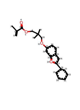 C=C(C)C(=O)OCC(C)(C)COc1ccc2cc(-c3ccccc3)oc2c1